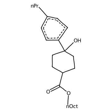 CCCCCCCCOC(=O)C1CCC(O)(c2ccc(CCC)cc2)CC1